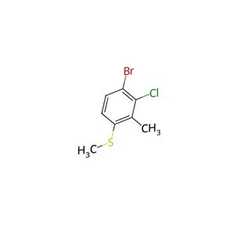 CSc1ccc(Br)c(Cl)c1C